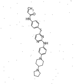 C=CC(=O)Nc1ccc(Sc2ccnc(Nc3ccc(N4CCC(N5CCCC5)CC4)cc3)n2)cc1